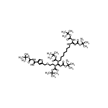 CC(C)(C)OC(=O)N=C(NCCCCCCCN(C(=O)OC(C)(C)C)C(=NC(=O)OC(C)(C)C)N(CCOCc1cc(C(=N)NC(=O)OC(C)(C)C)cs1)C(=O)OC(C)(C)C)NC(=O)OC(C)(C)C